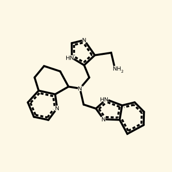 NCc1nc[nH]c1CN(Cc1nc2ccccc2[nH]1)C1CCCc2cccnc21